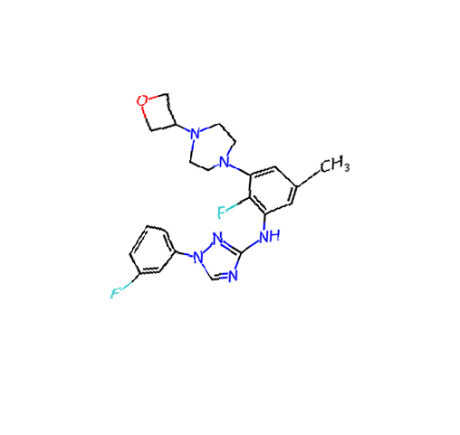 Cc1cc(Nc2ncn(-c3cccc(F)c3)n2)c(F)c(N2CCN(C3COC3)CC2)c1